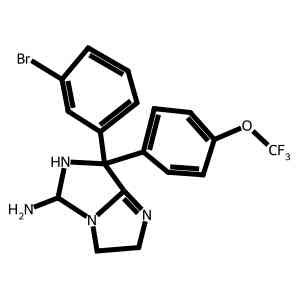 NC1NC(c2ccc(OC(F)(F)F)cc2)(c2cccc(Br)c2)C2=NCCN21